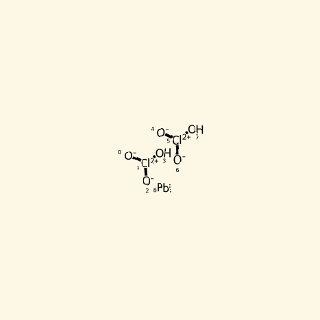 [O-][Cl+2]([O-])O.[O-][Cl+2]([O-])O.[Pb]